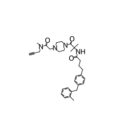 C#CCN(C)C(=O)CN1CCN(C(=O)C(C)(C)NC(=O)CCCc2ccc(Cc3ccccc3C)cc2)CC1